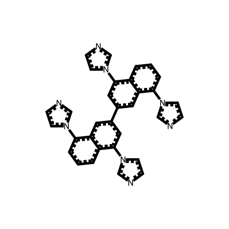 c1cc(-n2ccnc2)c2cc(-c3cc(-n4ccnc4)c4cccc(-n5ccnc5)c4c3)cc(-n3ccnc3)c2c1